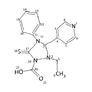 CCN1C(c2ccncc2)N(c2ccccc2)C(=S)N1C(=O)O